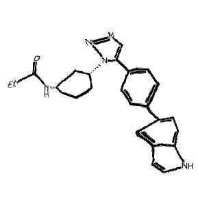 CCC(=O)N[C@H]1CC[C@@H](n2nncc2-c2ccc(-c3ccc4[nH]ccc4c3)cc2)C1